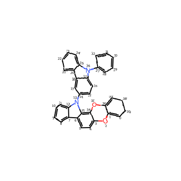 C1=C2Oc3ccc4c5ccccc5n(-c5ccc6c(c5)c5ccccc5n6-c5ccccc5)c4c3OC2=CCC1